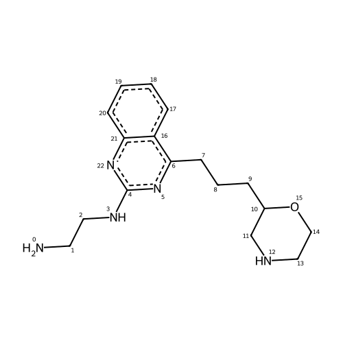 NCCNc1nc(CCCC2CNCCO2)c2ccccc2n1